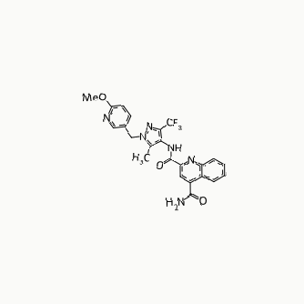 COc1ccc(Cn2nc(C(F)(F)F)c(NC(=O)c3cc(C(N)=O)c4ccccc4n3)c2C)cn1